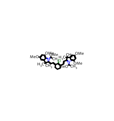 COc1cc(OC)c2c(c1)C(C)(C)C(/C=C/C1=C(Cl)C(=C/C=C3\N(C(C)OC)c4c(OC)cc(OC)cc4C3(C)C)/CCC1)=[N+]2C(C)OC